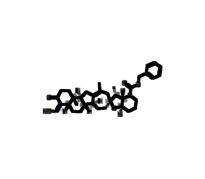 CC1=C2C[C@H]3[C@@H](CC[C@@H]4/C(=C/O)C(=O)CC[C@@]43C)[C@@H]2CC[C@@]2(C1)O[C@@H]1CCCN(C(=O)OCc3ccccc3)[C@H]1[C@H]2C